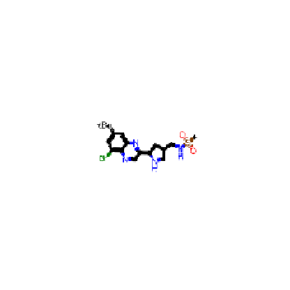 CC(C)(C)c1cc(Br)c2ncc(C3CC(CNS(C)(=O)=O)CN3)nc2c1